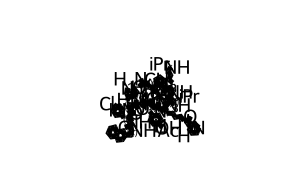 CC(=O)N[C@H](Cc1ccc2ccccc2c1)C(=O)N[C@H](Cc1ccc(Cl)cc1)C(=O)N[C@H](Cc1cccnc1)C(=O)N[C@@H](CO)C(=O)N(C)[C@@H](Cc1ccc(O)cc1)C(=O)N[C@H](CCCCNC(=O)c1cccnc1)C(=O)N[C@@H](CC(C)C)C(=O)N[C@@H](CCCCNC(C)C)C(=O)N1CCC[C@H]1C(=O)N[C@H](C)C(N)=O